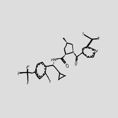 C[C@@H]1C[C@H](C(=O)N[C@@H](c2ccc(C(F)(F)F)cc2F)C2CC2)N(C(=O)c2ccnc(C(F)F)c2)C1